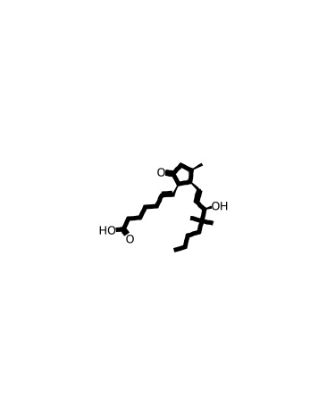 CCCCC(C)(C)[C@H](O)/C=C/[C@@H]1[C@H](C)CC(=O)[C@@H]1C=CCCCCC(=O)O